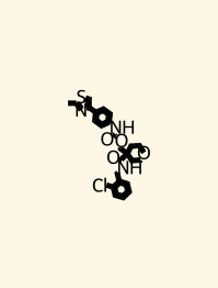 Cc1nc(-c2ccc(NC(=O)OCC3(C(=O)NCc4ccccc4Cl)CCOCC3)cc2)cs1